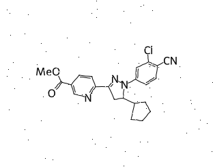 COC(=O)c1ccc(C2=NN(c3ccc(C#N)c(Cl)c3)C(C3CCCC3)C2)nc1